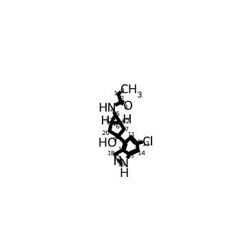 CCC(=O)NC1[C@H]2CC(O)(c3cc(Cl)cc4[nH]ncc34)C[C@@H]12